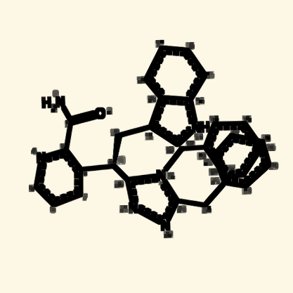 NC(=O)c1ncccc1[C@@H](Cc1c[nH]c2ccccc12)c1nnc(Cc2ccccc2)n1Cc1ccccn1